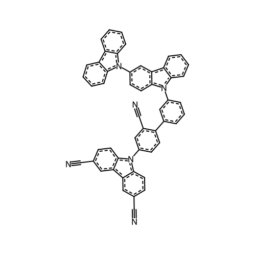 N#Cc1ccc2c(c1)c1cc(C#N)ccc1n2-c1ccc(-c2cccc(-n3c4ccccc4c4cc(-n5c6ccccc6c6ccccc65)ccc43)c2)c(C#N)c1